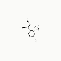 N#CC=C(C#N)c1ccc([N+]#N)cc1.O=S(=O)([O-])C(F)(F)F